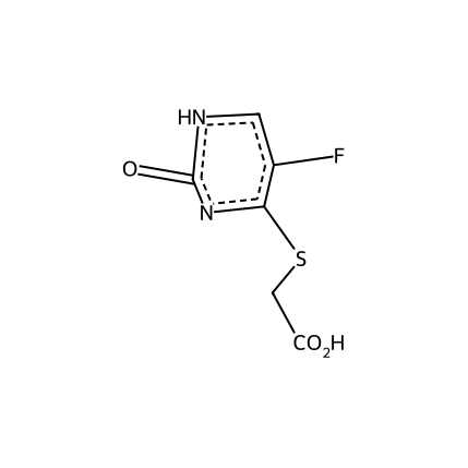 O=C(O)CSc1nc(=O)[nH]cc1F